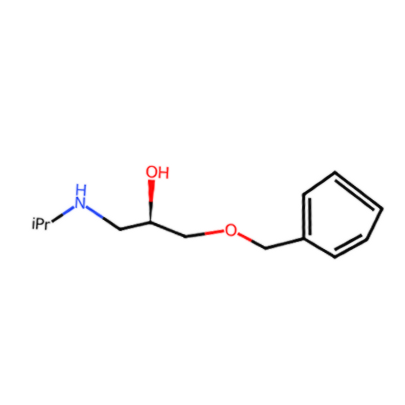 CC(C)NC[C@@H](O)COCc1ccccc1